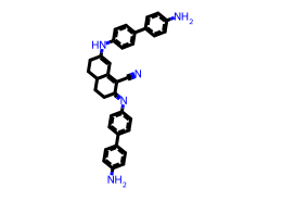 N#CC1=C2C=C(Nc3ccc(-c4ccc(N)cc4)cc3)CCC2CC/C1=N\c1ccc(-c2ccc(N)cc2)cc1